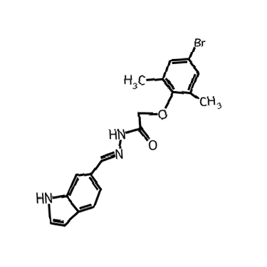 Cc1cc(Br)cc(C)c1OCC(=O)NN=Cc1ccc2cc[nH]c2c1